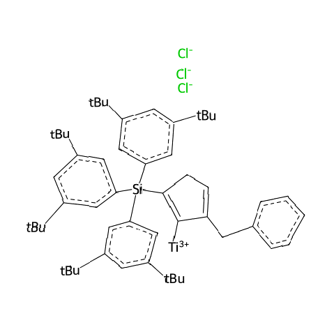 CC(C)(C)c1cc(C(C)(C)C)cc([Si](C2=[C]([Ti+3])C(Cc3ccccc3)=CC2)(c2cc(C(C)(C)C)cc(C(C)(C)C)c2)c2cc(C(C)(C)C)cc(C(C)(C)C)c2)c1.[Cl-].[Cl-].[Cl-]